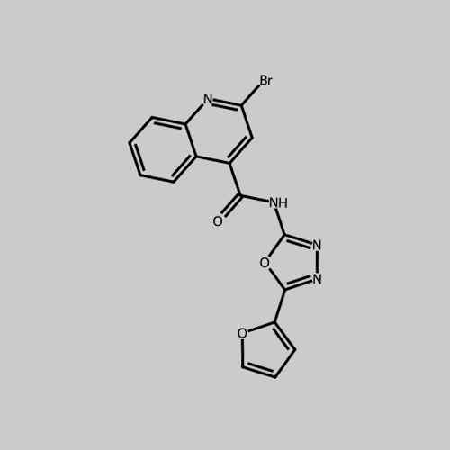 O=C(Nc1nnc(-c2ccco2)o1)c1cc(Br)nc2ccccc12